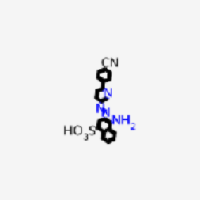 N#Cc1ccc(-c2ccc(/N=N/c3cc(S(=O)(=O)O)c4ccccc4c3N)cn2)cc1